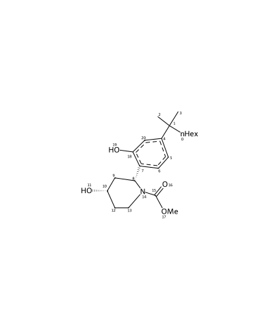 CCCCCCC(C)(C)c1ccc([C@H]2C[C@@H](O)CCN2C(=O)OC)c(O)c1